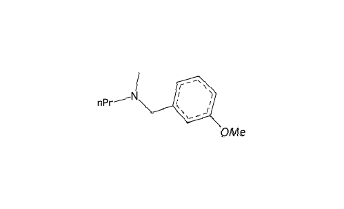 CCCN(C)Cc1cccc(OC)c1